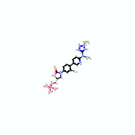 CN(c1ccc(-c2ccc(N3C[C@H](CO[PH](O)(O)O)OC3=O)cc2F)cn1)c1nnn(C)n1